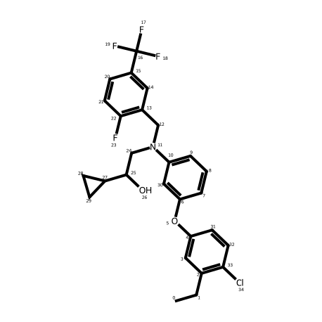 CCc1cc(Oc2cccc(N(Cc3cc(C(F)(F)F)ccc3F)CC(O)C3CC3)c2)ccc1Cl